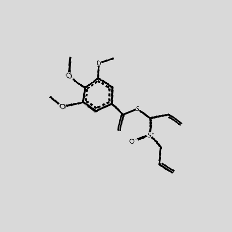 C=CC[S+]([O-])C(C=C)SC(=C)c1cc(OC)c(OC)c(OC)c1